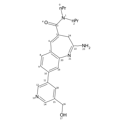 CCCN(CCC)C(=O)C1=Cc2ccc(-c3cncc(CO)c3)cc2N=C(N)C1